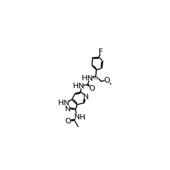 COC[C@@H](NC(=O)Nc1cc2[nH]nc(NC(C)=O)c2cn1)c1ccc(F)cc1